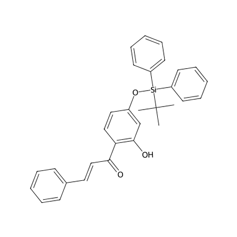 CC(C)(C)[Si](Oc1ccc(C(=O)C=Cc2ccccc2)c(O)c1)(c1ccccc1)c1ccccc1